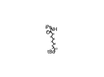 CC(C)NC(=O)CCCCCSCC(C)(C)C